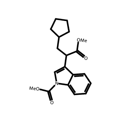 COC(=O)C(CC1CCCC1)c1cn(C(=O)OC)c2ccccc12